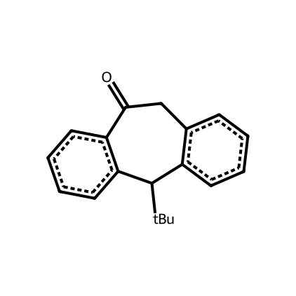 CC(C)(C)C1c2ccccc2CC(=O)c2ccccc21